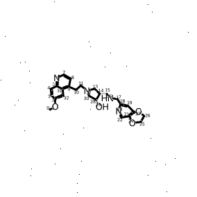 COc1ccc2nccc(CCN3C[C@H](CNCc4cc5c(cn4)OCCO5)[C@H](O)C3)c2c1